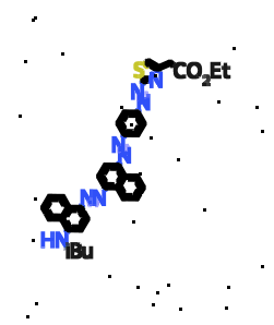 CCOC(=O)Cc1csc(/N=N/c2ccc(/N=N/c3ccc(/N=N/c4ccc(NC(C)CC)c5ccccc45)c4ccccc34)cc2)n1